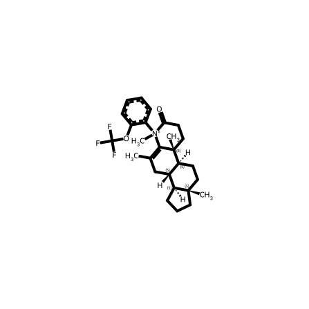 CC1=C2[C@](C)(CCC(=O)[N+]2(C)c2ccccc2OC(F)(F)F)[C@H]2CC[C@]3(C)CCC[C@H]3[C@@H]2C1